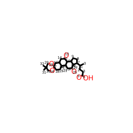 CC(CCC(=O)O)C1CCC2C3C(=O)CC4CC5(CC[C@]4(C)C3CC(=O)[C@]12C)OCC(C)(C)CO5